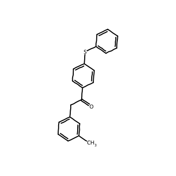 Cc1cccc(CC(=O)c2ccc(Sc3ccccc3)cc2)c1